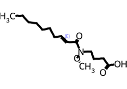 CCCCCCC/C=C/C(=O)N(CCCC(=O)O)OC